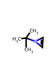 CC(C)(C)N1C=C1